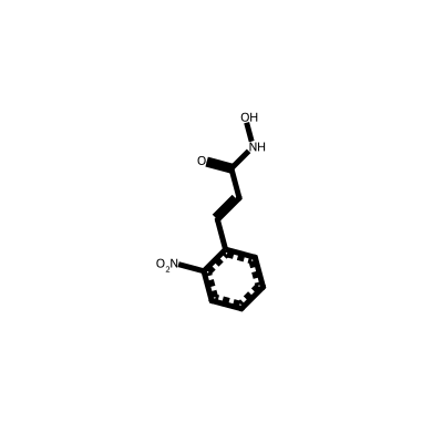 O=C(C=Cc1ccccc1[N+](=O)[O-])NO